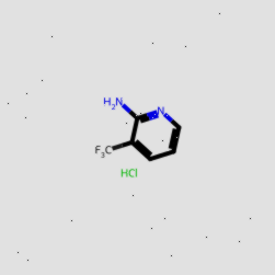 Cl.Nc1ncccc1C(F)(F)F